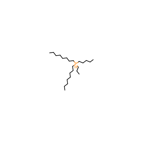 CCCCCCCC[PH](CCC)(CCCCC)CCCCCCCC